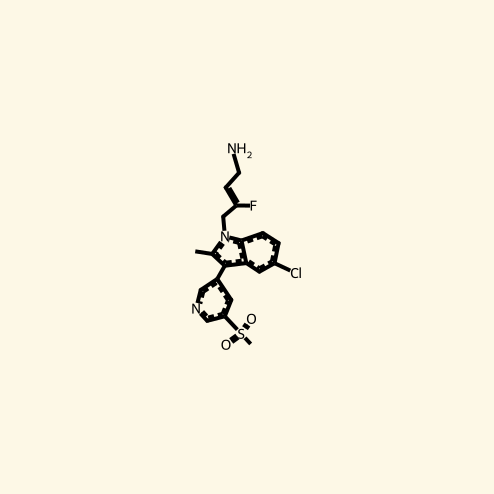 Cc1c(-c2cncc(S(C)(=O)=O)c2)c2cc(Cl)ccc2n1C/C(F)=C/CN